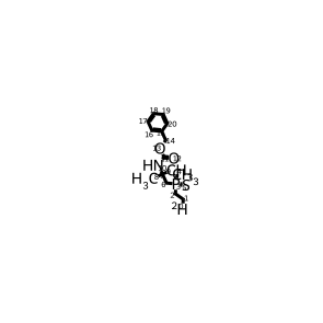 [2H]CCP(C)(=S)CC(C)(C)NC(=O)OCc1ccccc1